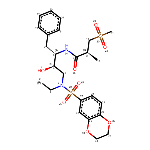 CC(C)CN(C[C@@H](O)[C@H](Cc1ccccc1)NC(=O)[C@H](C)CS(C)(=O)=O)S(=O)(=O)c1ccc2c(c1)OCCO2